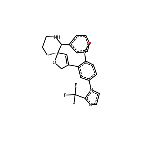 COc1ccc(-n2ccnc2C(F)(F)F)cc1C1=C[C@@]2(CCCN[C@H]2c2ccccc2)OC1